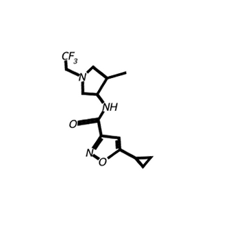 CC1CN(CC(F)(F)F)CC1NC(=O)c1cc(C2CC2)on1